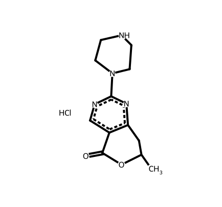 CC1Cc2nc(N3CCNCC3)ncc2C(=O)O1.Cl